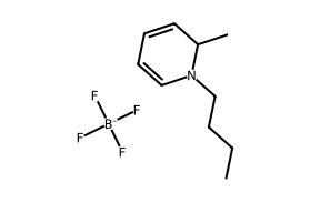 CCCCN1C=CC=CC1C.F[B-](F)(F)F